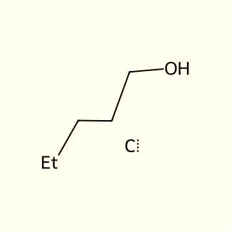 CCCCCO.[C]